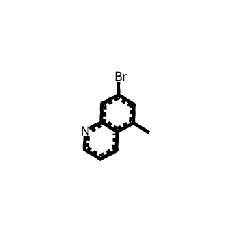 Cc1cc(Br)cc2ncccc12